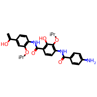 C=C(O)c1ccc(NC(=O)c2ccc(NC(=O)c3ccc(N)cc3)c(OC(C)C)c2O)c(OC(C)C)c1